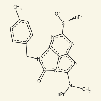 CCCN(C)c1nc2nc([S@@+]([O-])CCC)nc3c2n1c(=O)n3Cc1ccc(C)cc1